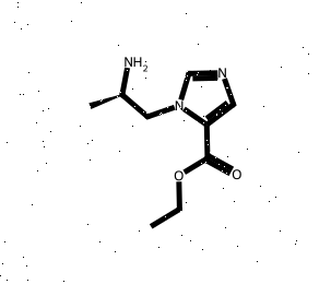 CCOC(=O)c1cncn1C[C@@H](C)N